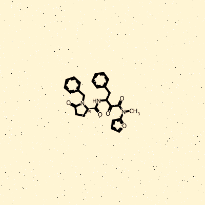 CN(C(=O)C(=O)C(Cc1ccccc1)NC(=O)[C@H]1CCC(=O)N1Cc1ccccc1)c1ccco1